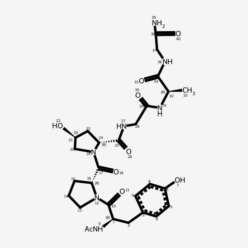 CC(=O)N[C@H](Cc1ccc(O)cc1)C(=O)N1CCC[C@@H]1C(=O)N1C[C@@H](O)C[C@@H]1C(=O)NCC(=O)N[C@H](C)C(=O)NCC(N)=O